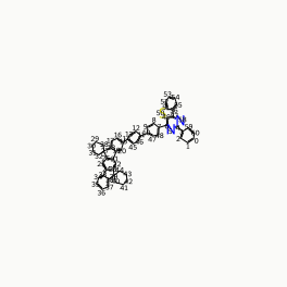 c1ccc(-c2nc(-c3ccc(-c4ccc(-c5ccc6c(c5)-c5cc7c(cc5C65CCCCC5)-c5ccccc5C75CCCCC5)cc4)cc3)c3sc4ccccc4c3n2)cc1